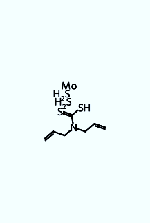 C=CCN(CC=C)C(=S)S.S.S.[Mo]